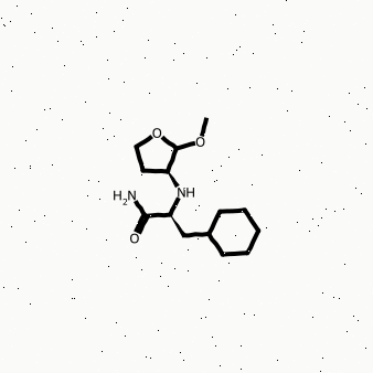 COC1OCC[C@@H]1N[C@@H](CC1CCCCC1)C(N)=O